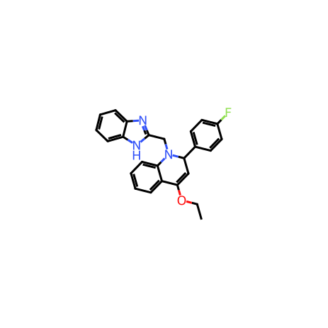 CCOC1=CC(c2ccc(F)cc2)N(Cc2nc3ccccc3[nH]2)c2ccccc21